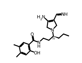 CCC[C@@H](CCNC(=O)c1cc(C)c(C)cc1O)N1CC(N)=C(C=N)C1